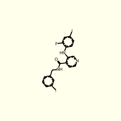 O=C(NCc1cccc(I)c1)c1ccncc1Nc1ccc(I)cc1F